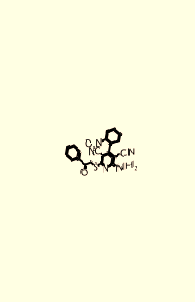 N#Cc1c(N)nc(SCC(=O)c2ccccc2)c(C#N)c1-c1ccccc1[N+](=O)[O-]